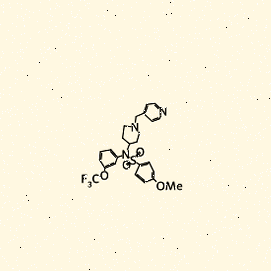 COc1ccc(S(=O)(=O)N(c2cccc(OC(F)(F)F)c2)C2CCN(Cc3ccncc3)CC2)cc1